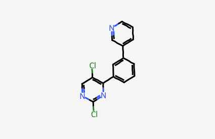 Clc1ncc(Cl)c(-c2cccc(-c3cccnc3)c2)n1